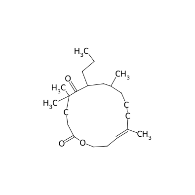 CCCC1CC(C)CCCC(C)=CCCOC(=O)CCC(C)(C)C1=O